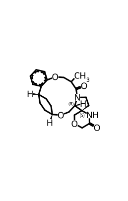 CC1COc2ccccc2[C@H]2CC[C@H](CC2)OC[C@@H]2N(CC[C@@]23COCC(=O)N3)C1=O